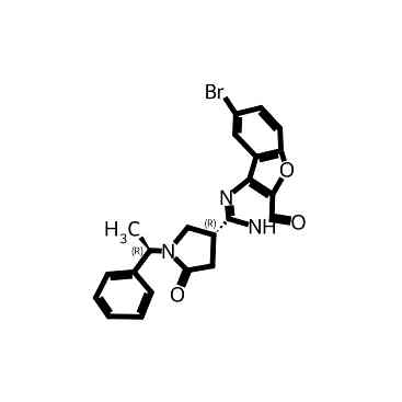 C[C@H](c1ccccc1)N1C[C@H](c2nc3c(oc4ccc(Br)cc43)c(=O)[nH]2)CC1=O